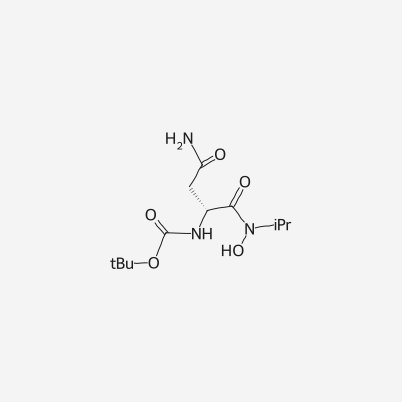 CC(C)N(O)C(=O)[C@@H](CC(N)=O)NC(=O)OC(C)(C)C